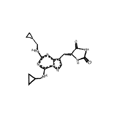 O=C1NC(=O)/C(=C/c2cnn3c(NC4CC4)nc(NCC4CC4)nc23)N1